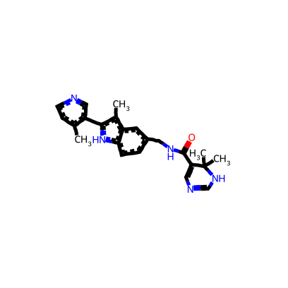 Cc1ccncc1-c1[nH]c2ccc(CNC(=O)C3=CN=CNC3(C)C)cc2c1C